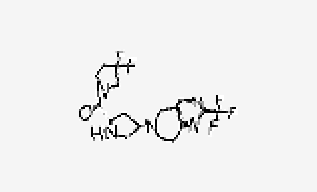 O=C([C@@H]1C[C@H](N2CCc3nc(C(F)(F)F)ncc3C2)CN1)N1CCC(F)(F)C1